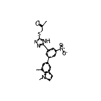 CC(=O)CSc1nnc(-c2cc(-c3cc(C)c4c(ccn4C)c3)cc([N+](=O)[O-])c2)[nH]1